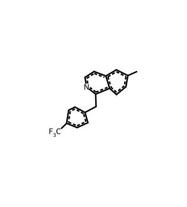 Cc1ccc2c(Cc3ccc(C(F)(F)F)cc3)nccc2c1